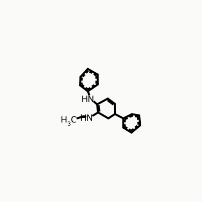 CCNC1=C(Nc2ccccc2)C=CC(c2ccccc2)C1